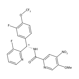 COc1cnc(C(=O)N[C@@H](c2ccc(OC(F)(F)F)c(F)c2)c2ncccc2F)cc1[N+](=O)[O-]